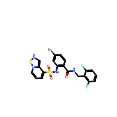 O=C(NCc1c(F)cccc1F)c1ccc(Br)cc1NS(=O)(=O)C1=CC=CN2SNC=C12